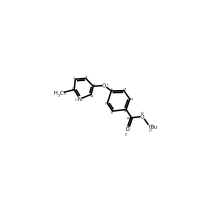 Cc1ccc(Oc2ccc(C(=O)OC(C)(C)C)cc2)cn1